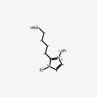 CCCCCCCCCCCCCc1n(CC)cc[n+]1CCC